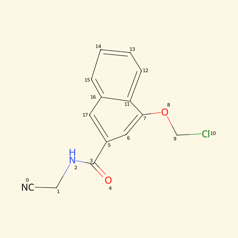 N#CCNC(=O)c1cc(OCCl)c2ccccc2c1